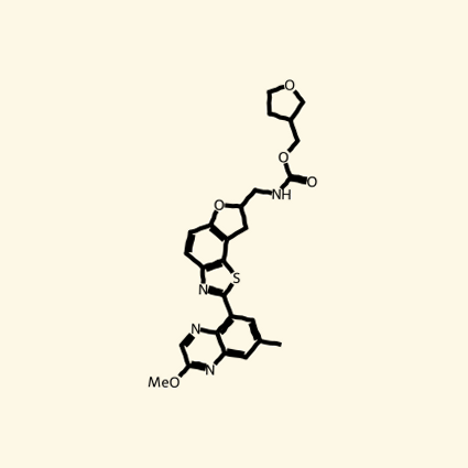 COc1cnc2c(-c3nc4ccc5c(c4s3)CC(CNC(=O)OCC3CCOC3)O5)cc(C)cc2n1